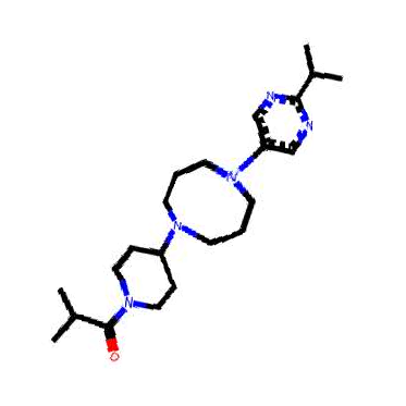 CC(C)C(=O)N1CCC(N2CCCN(c3cnc(C(C)C)nc3)CCC2)CC1